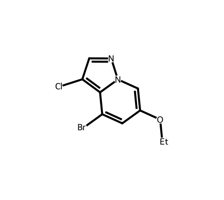 CCOc1cc(Br)c2c(Cl)cnn2c1